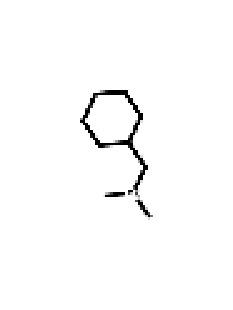 C[As](C)CC1CCCCC1